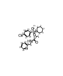 C[C@@H]1CCC[C@H](COC(=O)NCc2ccccn2)N1S(=O)(=O)c1ccc(Cl)cc1